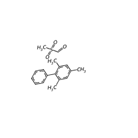 CS(=O)(=O)C=O.Cc1cc(C)c(-c2ccccc2)c(C)c1